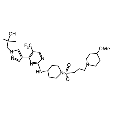 COC1CCN(CCCS(=O)(=O)N2CCC(Nc3ncc(C(F)(F)F)c(-c4cnn(CC(C)(C)O)c4)n3)CC2)CC1